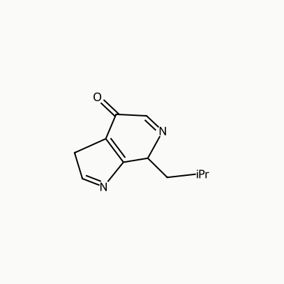 CC(C)CC1N=CC(=O)C2=C1N=CC2